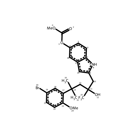 COC(=O)Oc1ccc2[nH]c(CC(O)(CC(C)(C)c3cc(Br)ccc3OC)C(F)(F)F)cc2c1